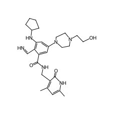 Cc1cc(C)c(CNC(=O)c2cc(N3CCN(CCO)CC3)cc(NC3CCCC3)c2C=N)c(=O)[nH]1